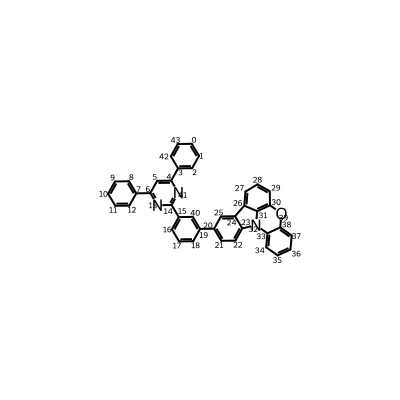 c1ccc(-c2cc(-c3ccccc3)nc(-c3cccc(-c4ccc5c(c4)c4cccc6c4n5-c4ccccc4O6)c3)n2)cc1